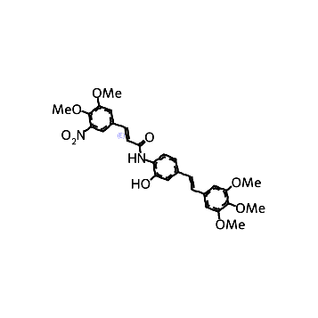 COc1cc(C=Cc2ccc(NC(=O)/C=C/c3cc(OC)c(OC)c([N+](=O)[O-])c3)c(O)c2)cc(OC)c1OC